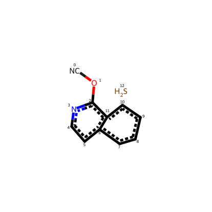 N#COc1nccc2ccccc12.S